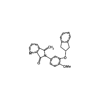 C=C1c2cccnc2C(=O)N1c1ccc(OC)c(OC2Cc3ccccc3C2)c1